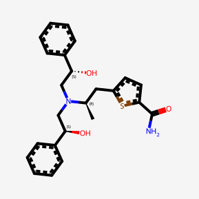 C[C@H](Cc1ccc(C(N)=O)s1)N(C[C@@H](O)c1ccccc1)C[C@@H](O)c1ccccc1